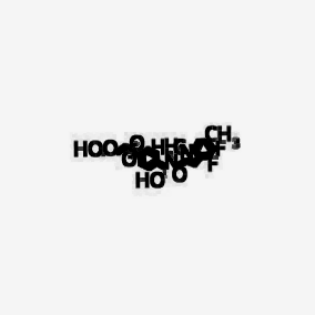 Cc1cc2c(cc(C(=O)N[C@H](CO)c3ccc(S(=O)(=O)CCOCO)cc3)n2C)c(F)c1F